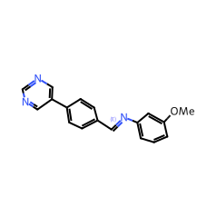 COc1cccc(/N=C/c2ccc(-c3cncnc3)cc2)c1